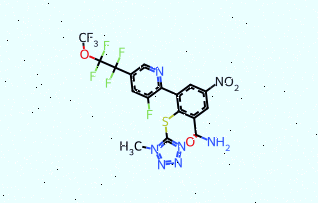 Cn1nnnc1Sc1c(C(N)=O)cc([N+](=O)[O-])cc1-c1ncc(C(F)(F)C(F)(F)OC(F)(F)F)cc1F